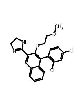 COCCOc1c(C2=NCCN2)cc2ccccc2c1-c1ccc(Cl)cc1Cl